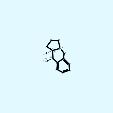 O[C@H]1c2ccccc2CN2CCC[C@H]12